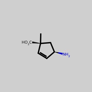 C[C@@]1(C(=O)O)C=C[C@H](N)C1